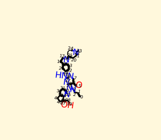 C=CCn1c(=O)c2cnc(Nc3ccc4c(ccn4C4CCN(C)CC4)c3)nc2n1-c1ccc2c(n1)[C@](O)(CC)CC2